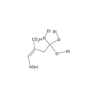 CCCCCCCCC=C(CC(OCC)(OCC)OCC)C(=O)O